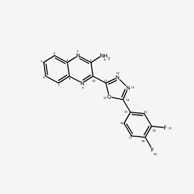 Nc1nc2ccccc2nc1-c1nnc(-c2ccc(F)c(F)c2)o1